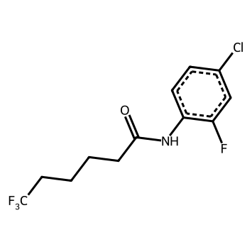 O=C(CCCCC(F)(F)F)Nc1ccc(Cl)cc1F